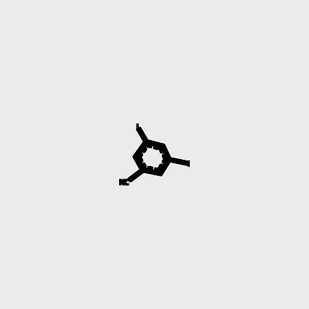 N#Cc1cc(I)cc(I)c1